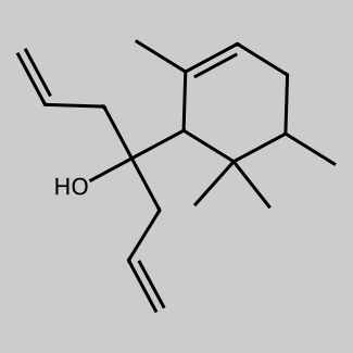 C=CCC(O)(CC=C)C1C(C)=CCC(C)C1(C)C